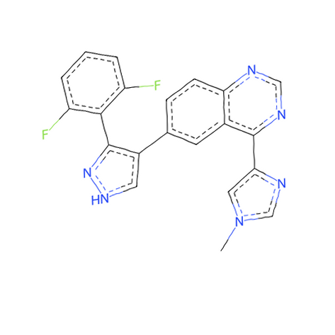 Cn1cnc(-c2ncnc3ccc(-c4c[nH]nc4-c4c(F)cccc4F)cc23)c1